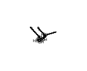 CCCCCCCCCCCCCC(=O)O[C@@H]1[C@H](NC(=O)c2ccc(OCCCCCCCCCC)c(OCCCCCCCCCC)c2)[C@@H](O)O[C@H](CO)[C@H]1OS(=O)(=O)O